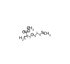 C=C(COCCCSC)C(=O)OC